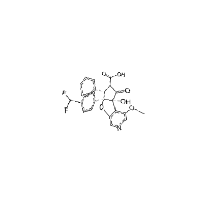 COc1cncc2c1[C@]1(O)C(=O)[C@H](C(=O)O)[C@@H](c3ccccc3)[C@]1(c1ccc(C(F)F)cc1)O2